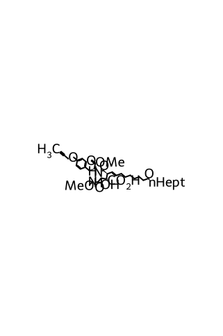 CC#CCOc1ccc(C[C@H](NC(=O)[C@@H](/C=C/CCCCCCC(=O)CCCCCCC)[C@@](O)(CC(=O)NOC)C(=O)O)C(=O)OC)cc1